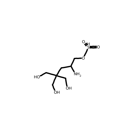 NC(CO[SH](=O)=O)CC(CO)(CO)CO